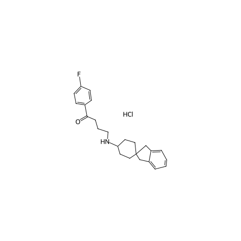 Cl.O=C(CCCNC1CCC2(CC1)Cc1ccccc1C2)c1ccc(F)cc1